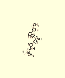 COc1cc(F)cc(-c2ccnc3[nH]c(-c4n[nH]c5ncc(-c6cncc(NC(=O)CN(C)C)c6)cc45)nc23)c1